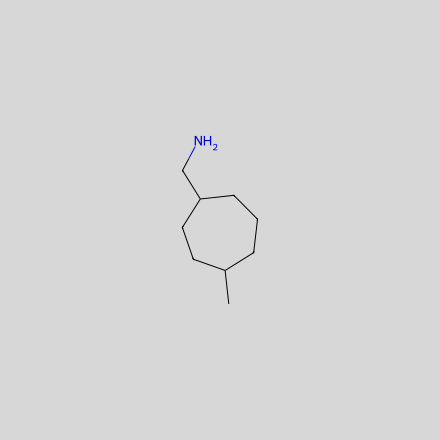 CC1CCCC(CN)CC1